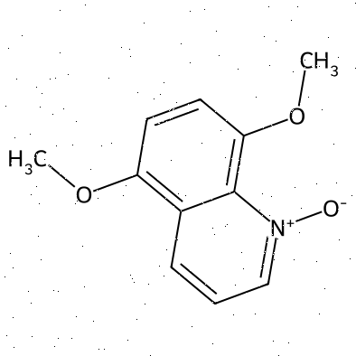 COc1ccc(OC)c2c1ccc[n+]2[O-]